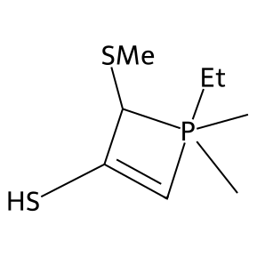 CCP1(C)(C)C=C(S)C1SC